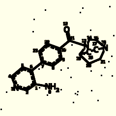 Nc1cnccc1-c1ccc(C(=O)N2CCN3CCC2CC3)cc1